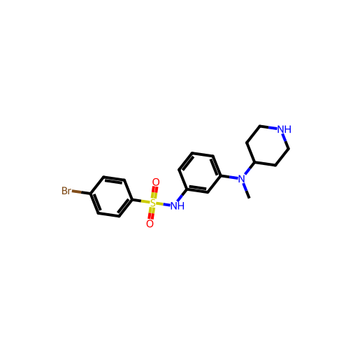 CN(c1cccc(NS(=O)(=O)c2ccc(Br)cc2)c1)C1CCNCC1